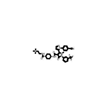 Cn1c(-c2ccnn2-c2ccc(C#N)cc2)c(C(=O)N[C@H]2CC[C@H](C(=O)NCC[N+](C)(C)C)CC2)c(=O)n1-c1cccc(C(F)(F)F)c1